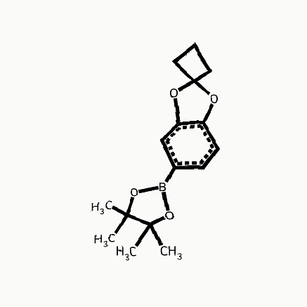 CC1(C)OB(c2ccc3c(c2)OC2(CCC2)O3)OC1(C)C